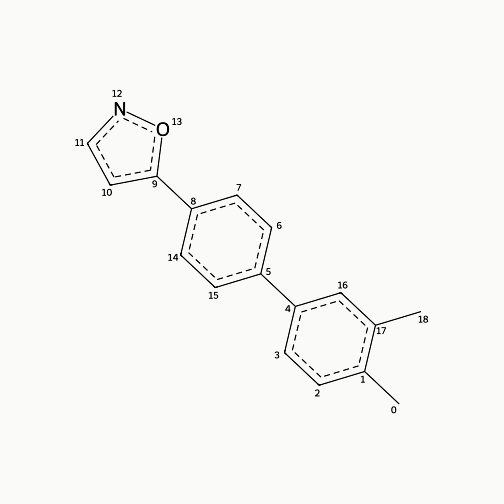 Cc1ccc(-c2ccc(-c3ccno3)cc2)cc1C